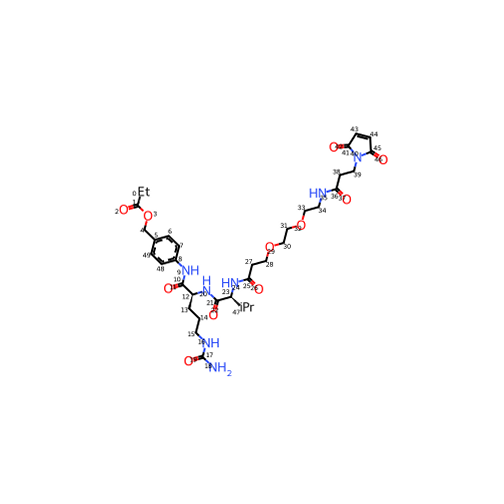 CCC(=O)OCc1ccc(NC(=O)[C@H](CCCNC(N)=O)NC(=O)[C@@H](NC(=O)CCOCCOCCNC(=O)CCN2C(=O)C=CC2=O)C(C)C)cc1